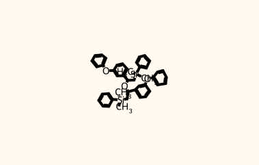 C[Si](C)(CC(OC(C[Si](C)(C)c1ccccc1)c1cccc(Oc2ccccc2)c1)c1cccc(Oc2ccccc2)c1)c1ccccc1